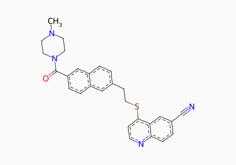 CN1CCN(C(=O)c2ccc3cc(CCSc4ccnc5ccc(C#N)cc45)ccc3c2)CC1